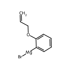 C=CCOc1cccc[c]1[Mg][Br]